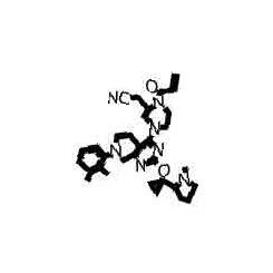 C=CC(=O)N1CCN(c2nc(OC3(C4CCCN4C)CC3)nc3c2CCN(c2cccc(C)c2C)C3)CC1CC#N